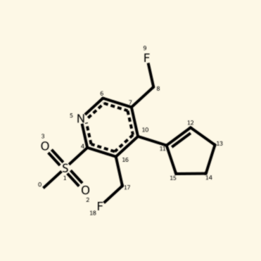 CS(=O)(=O)c1ncc(CF)c(C2=CCCC2)c1CF